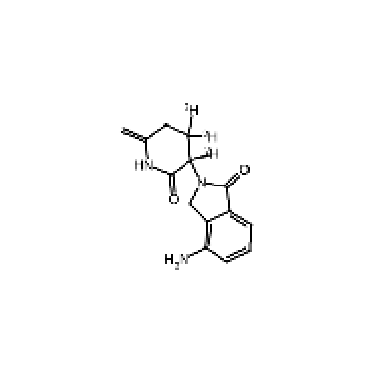 [2H]C1([2H])CC(=C)NC(=O)[C@@]1([2H])N1Cc2c(N)cccc2C1=O